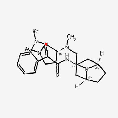 CC(=O)N1CC[C@@H](N(C)CCN2[C@@H]3CC[C@H]2C[C@H](NC(=O)c2nn(C(C)C)c4ccccc24)C3)C1